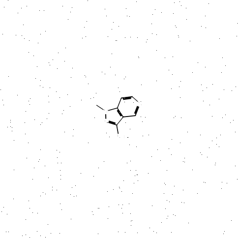 Cn1nc(N)c2cnccc21